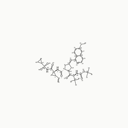 C=CC1C[C@]1(NC(=O)[C@@H]1C[C@@H](Oc2nccc3cc(CC)ccc23)CN1C(=O)[C@@H](NC(=O)OC(C)(C)C)C(C)(C)C)C(=O)NS(=O)(=O)C1CC1